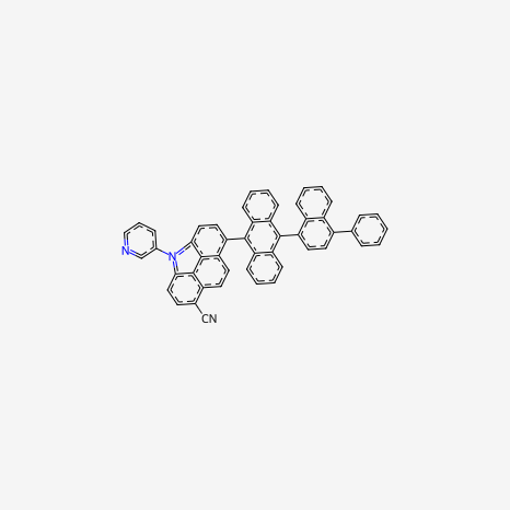 N#Cc1ccc2c3c1ccc1c(-c4c5ccccc5c(-c5ccc(-c6ccccc6)c6ccccc56)c5ccccc45)ccc(c13)n2-c1cccnc1